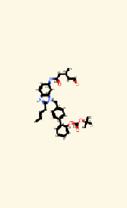 CCCCc1nc2c(n1Cc1ccc(-c3ccccc3OC(=O)OC(C)(C)C)cc1)CC(=NC(=O)CC(C)CC=O)C=C2